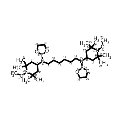 CON1C(C)(C)CC(N(CCCCCCN(C2CC(C)(C)N(OC)C(C)(C)C2)P2OCCO2)P2OCCO2)CC1(C)C